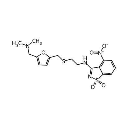 CN(C)Cc1ccc(CSCCNC2=NS(=O)(=O)c3cccc([N+](=O)[O-])c32)o1